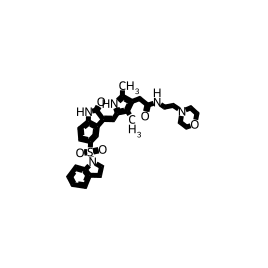 Cc1[nH]c(/C=C2\C(=O)Nc3ccc(S(=O)(=O)N4CCc5ccccc54)cc32)c(C)c1CC(=O)NCCN1CCOCC1